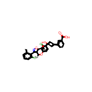 [2H]C(Oc1ccc(C2(O)CC(c3cccc(C(=O)O)c3)C2)c(Cl)c1)c1c(-c2c(C)cccc2Cl)noc1C1CC1